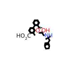 Cc1cc(-c2ccccc2[C@@H](C)OC[C@H](O)CNC(C)(C)CC2CC3CCC2C3)ccc1C(=O)O